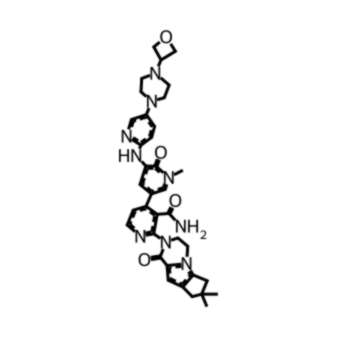 Cn1cc(-c2ccnc(N3CCn4c(cc5c4CC(C)(C)C5)C3=O)c2C(N)=O)cc(Nc2ccc(N3CCN(C4COC4)CC3)cn2)c1=O